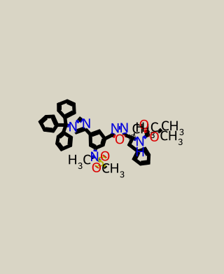 CN(c1cc(-c2cn(C(c3ccccc3)(c3ccccc3)c3ccccc3)cn2)cc(-c2nnc([C@](C)(Cc3ccccc3)NC(=O)OC(C)(C)C)o2)c1)S(C)(=O)=O